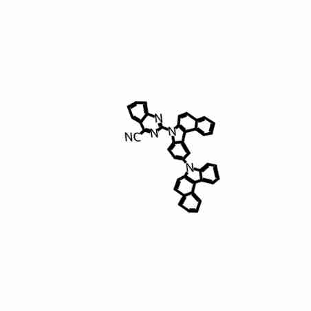 N#Cc1nc(-n2c3ccc(-n4c5ccccc5c5c6ccccc6ccc54)cc3c3c4ccccc4ccc32)nc2ccccc12